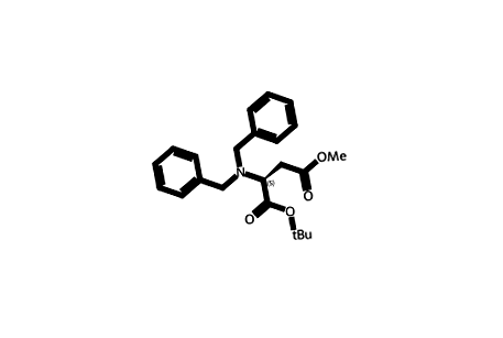 COC(=O)C[C@@H](C(=O)OC(C)(C)C)N(Cc1ccccc1)Cc1ccccc1